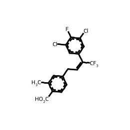 Cc1cc(C/C=C(\c2cc(Cl)c(F)c(Cl)c2)C(F)(F)F)ccc1C(=O)O